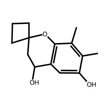 Cc1c(O)cc2c(c1C)OC1(CCC1)CC2O